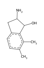 Cc1ccc2c(c1C)C(O)C(N)C2